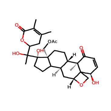 CC(=O)OC[C@]12CC[C@H]3[C@@H](C[C@H]4OCC45[C@H](O)C=CC(=O)[C@]35C)C1CC[C@@]2(O)C(C)(O)C1CC(C)=C(C)C(=O)O1